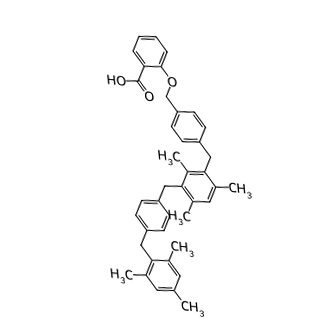 Cc1cc(C)c(Cc2ccc(Cc3c(C)cc(C)c(Cc4ccc(COc5ccccc5C(=O)O)cc4)c3C)cc2)c(C)c1